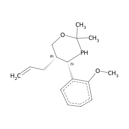 C=CC[C@@H]1COC(C)(C)P[C@@H]1c1ccccc1OC